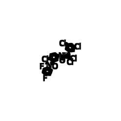 CN(C(=O)c1cc(NC(=O)[C@@H]2[C@@H](c3cc(Cl)cc(Cl)c3)C2(Cl)Cl)ccc1Cl)c1ccc(F)cc1F